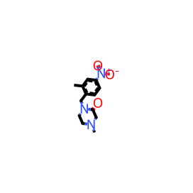 Cc1cc([N+](=O)[O-])ccc1CN1CCN(C)CC1=O